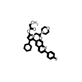 C=CC(=O)Oc1cc(C2CCCCC2)c(-c2ccc3nc(-c4ccc(F)cc4)ccc3c2)n1CC(=O)N1CCOCC1